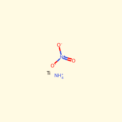 O=[N+]([O-])[O-].[NH4+].[Ti]